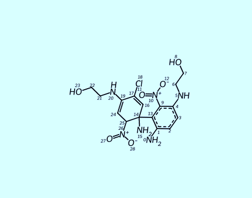 Nc1ccc(NCCO)c([N+](=O)[O-])c1C1(N)C=C(Cl)C(NCCO)=CC1[N+](=O)[O-]